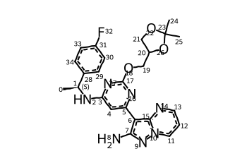 C[C@H](Nc1cc(-c2c(N)nn3cccnc23)nc(OCC2COC(C)(C)O2)n1)c1ccc(F)cc1